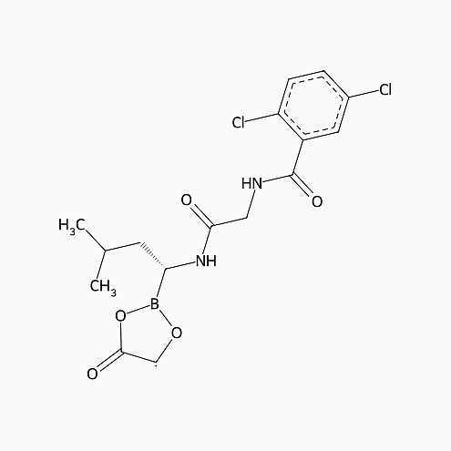 CC(C)C[C@H](NC(=O)CNC(=O)c1cc(Cl)ccc1Cl)B1O[CH]C(=O)O1